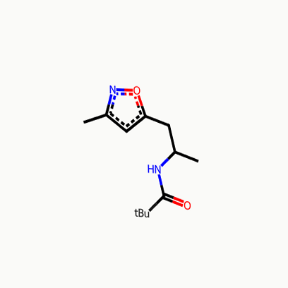 Cc1cc(CC(C)NC(=O)C(C)(C)C)on1